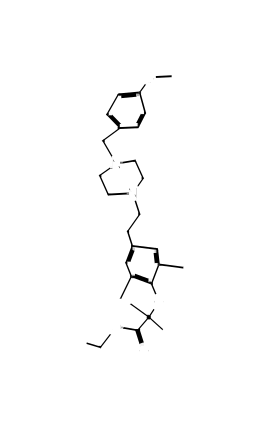 CCOC(=O)C(C)(C)Oc1c(C)cc(CCN2CCN(Cc3ccc(SC)cc3)CC2)cc1C